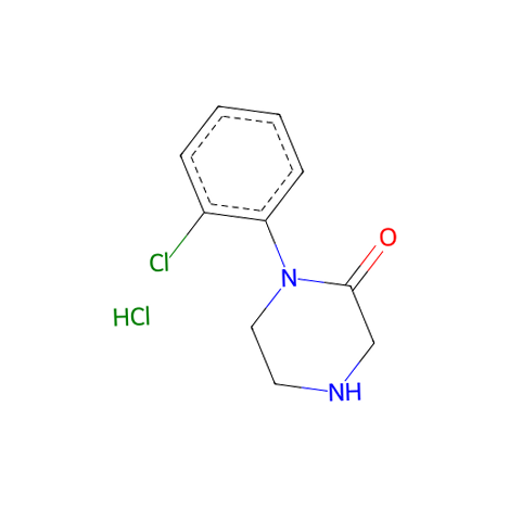 Cl.O=C1CNCCN1c1ccccc1Cl